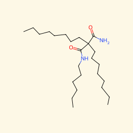 CCCCCCCCC(CCCCCCCC)(C(N)=O)C(=O)NCCCCCC